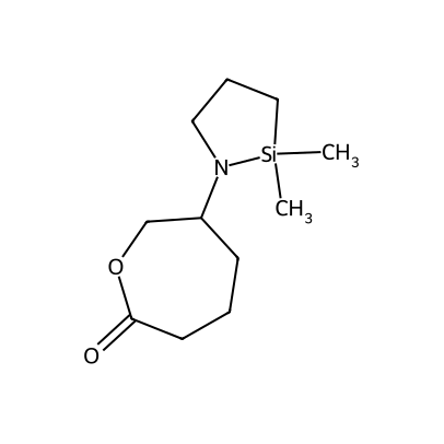 C[Si]1(C)CCCN1C1CCCC(=O)OC1